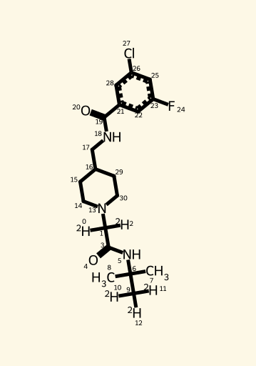 [2H]C([2H])(C(=O)NC(C)(C)C([2H])([2H])[2H])N1CCC(CNC(=O)c2cc(F)cc(Cl)c2)CC1